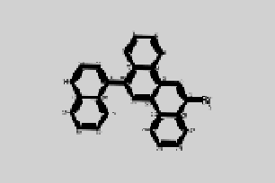 Brc1cc2c3ccccc3c(-c3cccc4ccccc34)cc2c2ccccc12